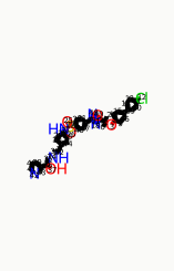 CC(C)(Oc1ccc(-c2ccc(Cl)cc2)cc1)c1nc(-c2ccc(S(=O)(=O)Nc3ccc(CCNCC(O)c4cccnc4)cc3)cc2)no1